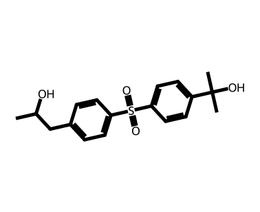 CC(O)Cc1ccc(S(=O)(=O)c2ccc(C(C)(C)O)cc2)cc1